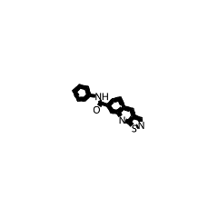 O=C(Nc1ccccc1)c1ccc2cc3cnsc3nc2c1